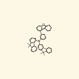 CC1(C)c2ccccc2-c2cc(N(c3cccc(-c4cccc5oc6ccccc6c45)c3)c3cccc4c3-c3ccccc3C4(C)C)ccc21